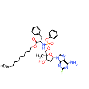 CCCCCCCCCCCCCCCCCCOC(=O)[C@H](Cc1ccccc1)NP(=O)(OC[C@@]1(C)O[C@@H](n2cnc3c(N)nc(F)nc32)C[C@@H]1O)Oc1ccccc1